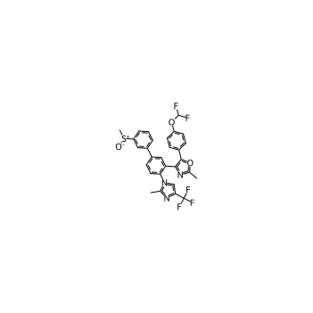 Cc1nc(-c2cc(-c3cccc([S+](C)[O-])c3)ccc2-n2cc(C(F)(F)F)nc2C)c(-c2ccc(OC(F)F)cc2)o1